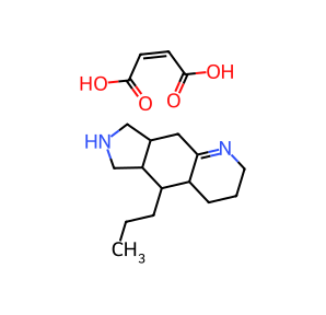 CCCC1C2CCCN=C2CC2CNCC21.O=C(O)/C=C\C(=O)O